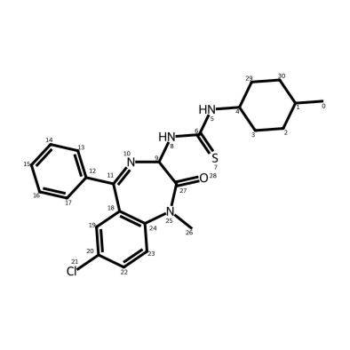 CC1CCC(NC(=S)NC2N=C(c3ccccc3)c3cc(Cl)ccc3N(C)C2=O)CC1